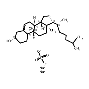 CC(C)CCC[C@@H](C)[C@H]1CC[C@H]2[C@@H]3CC=C4C[C@@H](O)CC[C@]4(C)[C@H]3CC[C@]12C.O=S(=O)([O-])[O-].[Na+].[Na+]